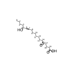 CCCCC(O)C#CCCCCCCC[S@@+]([O-])CCCC(=O)O